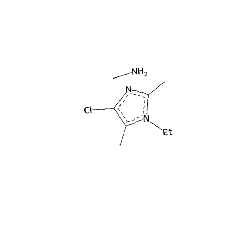 CCn1c(C)nc(Cl)c1C.CN